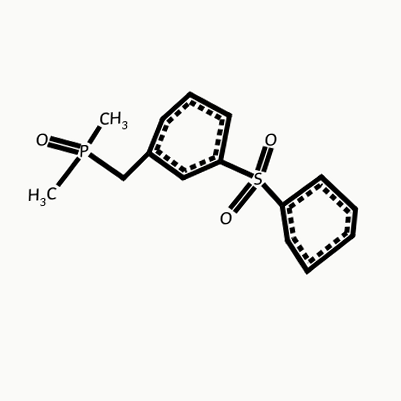 CP(C)(=O)Cc1cccc(S(=O)(=O)c2ccccc2)c1